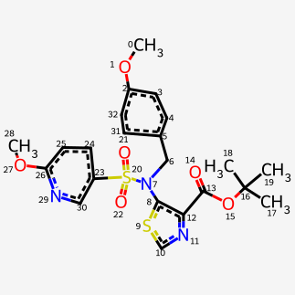 COc1ccc(CN(c2scnc2C(=O)OC(C)(C)C)S(=O)(=O)c2ccc(OC)nc2)cc1